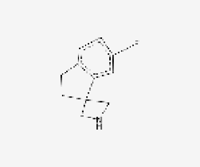 Fc1ccc2c(c1)C1(CC2)CNC1